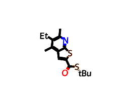 CCc1c(C)nc2sc(C(=O)SC(C)(C)C)cc2c1C